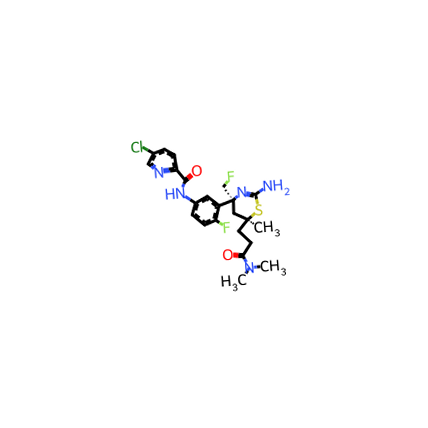 CN(C)C(=O)CC[C@@]1(C)C[C@@](CF)(c2cc(NC(=O)c3ccc(Cl)cn3)ccc2F)N=C(N)S1